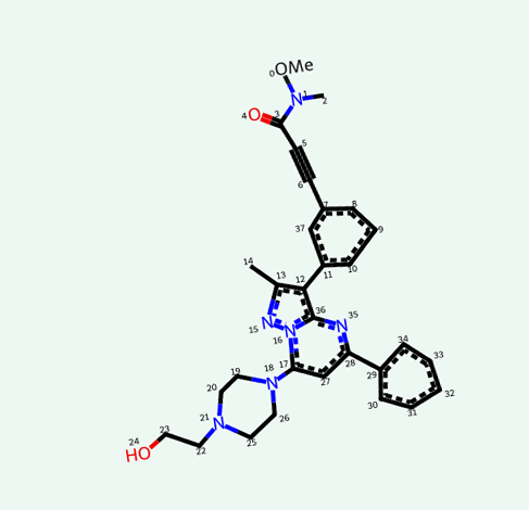 CON(C)C(=O)C#Cc1cccc(-c2c(C)nn3c(N4CCN(CCO)CC4)cc(-c4ccccc4)nc23)c1